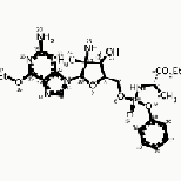 CCOC(=O)[C@H](C)NP(=O)(OC[C@H]1O[C@@H](n2cnc3c(OCC)nc(N)nc32)[C@](C)(N)C1O)Oc1ccccc1